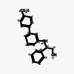 O=C(O)c1ccc(-c2cncc(N[C@@H](CO)c3ccccc3)c2)cc1